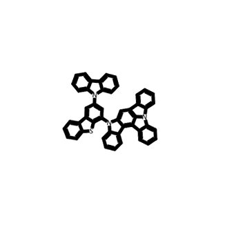 c1ccc2c(c1)sc1c(-n3c4ccccc4c4c5c6ccccc6n6c7ccccc7c(cc43)c56)cc(-n3c4ccccc4c4ccccc43)cc12